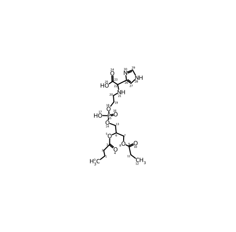 CCCC(=O)OC(COC(=O)CC)COP(=O)(O)OCCNC(C(=O)O)c1c[nH]cn1